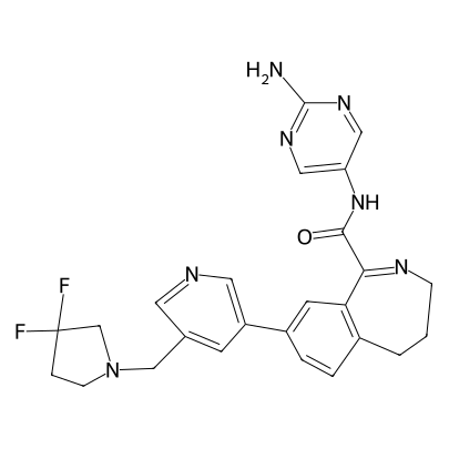 Nc1ncc(NC(=O)C2=NCCCc3ccc(-c4cncc(CN5CCC(F)(F)C5)c4)cc32)cn1